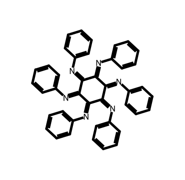 c1ccc(N=C2C(=Nc3ccccc3)C(=Nc3ccccc3)C(=Nc3ccccc3)C(=Nc3ccccc3)C2=Nc2ccccc2)cc1